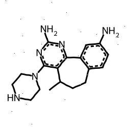 CC1CCc2ccc(N)cc2-c2nc(N)nc(N3CCNCC3)c21